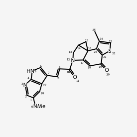 CNc1cnc2[nH]cc(/C=C/C(=O)N3CC4CC45C3=CC(=O)c3scc(C)c35)c2c1